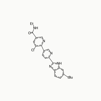 CCNC(=O)c1cnc(-c2ccc(-c3nc4ccc(C(C)(C)C)cc4[nH]3)nc2)c(Cl)c1